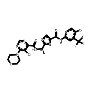 C[C@@H](NC(=O)c1ncnc(N2CCOCC2)c1Cl)c1ncc(C(=O)Nc2cc(C(F)(F)F)c(Cl)cn2)s1